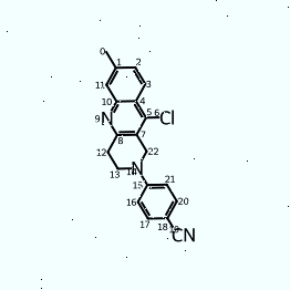 Cc1ccc2c(Cl)c3c(nc2c1)CCN(c1ccc(C#N)cc1)C3